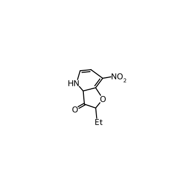 CCC1OC2=C([N+](=O)[O-])C=CNC2C1=O